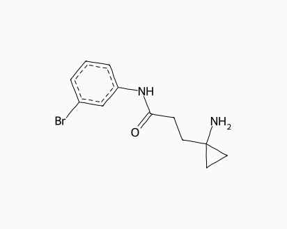 NC1(CCC(=O)Nc2cccc(Br)c2)CC1